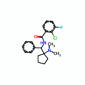 CN(C)C1(C(NC(=O)c2cccc(F)c2Cl)c2ccccc2)CCCC1